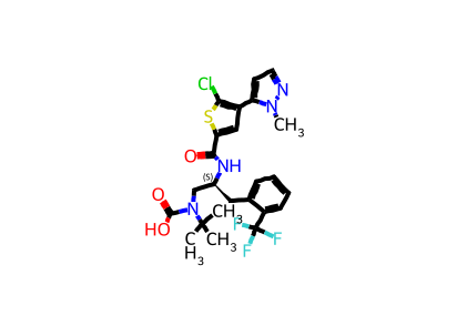 Cn1nccc1-c1cc(C(=O)N[C@@H](Cc2ccccc2C(F)(F)F)CN(C(=O)O)C(C)(C)C)sc1Cl